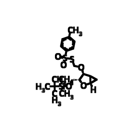 Cc1ccc(S(=O)(=O)SCO[C@H]2C3C[C@@H]3O[C@@H]2CO[Si](C)(C)C(C)(C)C)cc1